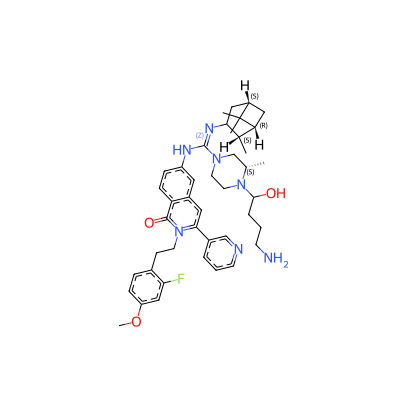 COc1ccc(CCn2c(-c3cccnc3)cc3cc(N/C(=N/C4C[C@@H]5C[C@H]([C@@H]4C)C5(C)C)N4CCN(C(O)CCCN)[C@@H](C)C4)ccc3c2=O)c(F)c1